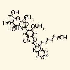 C#CCCCCCn1c(COc2cc(OC)c(C(=O)N[C@H]3[C@@H](OC)O[C@H](CO)[C@@H](O)[C@@H]3O)cc2Cl)nc2ccccc21